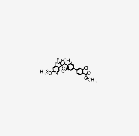 COC(=O)c1ccc(-c2ccc(C(C)C(O)(c3ccc(OC)nc3)C(F)(F)F)c(Cl)c2)cc1Cl